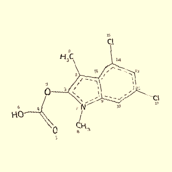 Cc1c(OC(=O)O)n(C)c2cc(Cl)cc(Cl)c12